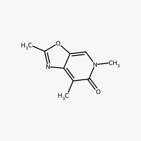 Cc1nc2c(C)c(=O)n(C)cc2o1